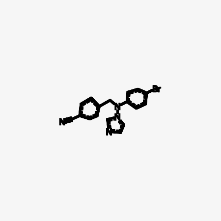 N#Cc1ccc(CN(c2ccc(Br)cc2)n2ccnc2)cc1